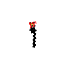 CCCCCCCCc1ccc(OS(=O)(=O)O)cc1